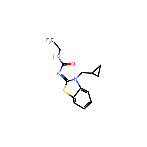 O=C(N=c1sc2ccccc2n1CC1CC1)NCC(F)(F)F